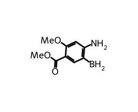 Bc1cc(C(=O)OC)c(OC)cc1N